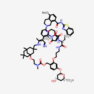 COc1ccc(C(=O)Nc2nc3ccccc3s2)c2c1CCN(c1ccc(/C(C=N)=C(\C)NCC3(C)CC4(C)CC(C)(C)CC(OCCN(C)C(=O)OCc5ccc(O[C@H]6C[C@@H](O)C[C@@H](C(=O)O)O6)cc5OCCCNC(=O)[C@H](CS(=O)(=O)O)NC(=O)CCCCCN5C(=O)C=CC5=O)(C3)C4)c(C(=O)O)n1)C2